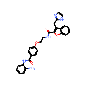 Nc1ccccc1NC(=O)c1ccc(OCCNC(=O)c2oc3ccccc3c2Cc2ncc[nH]2)cc1